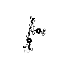 CCOC(Cc1ccc(OCCN(CCOCCC(C)(F)F)C(=O)Nc2ccc([N+](=O)[O-])cc2)cc1)C(=O)O